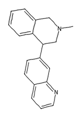 CN1Cc2ccccc2C(c2ccc3cccnc3c2)C1